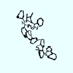 c1ccc(C2N=C(c3cccc4c3oc3cc(-c5cccc6c5sc5cccc(-n7c8ccccc8c8ccccc87)c56)ccc34)NC(c3ccccc3)N2)cc1